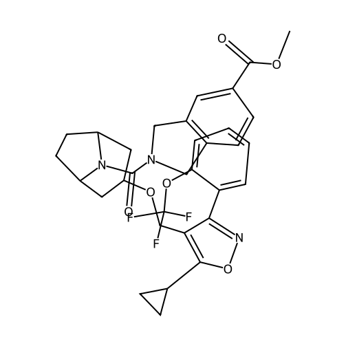 COC(=O)c1ccc2c(c1)CN(C(=O)N1C3CCC1CC(OCc1c(-c4ccccc4OC(F)(F)F)noc1C1CC1)C3)C2